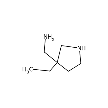 CCC1(CN)CCNC1